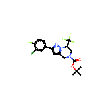 CC(C)(C)OC(=O)N1Cc2cc(-c3ccc(F)c(Cl)c3)nn2C(C(F)(F)F)C1